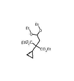 CCOC(=O)C(CC(OCC)OCC)(C(=O)OCC)C1CC1